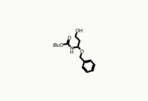 CC(C)COC(=O)NC(CCO)OCc1ccccc1